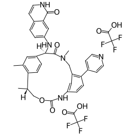 Cc1cc2ccc1[C@@H](C)COC(=O)Nc1ccc(-c3ccncc3)c(c1)CN(C)C(=O)[C@@H]2Nc1ccc2cc[nH]c(=O)c2c1.O=C(O)C(F)(F)F.O=C(O)C(F)(F)F